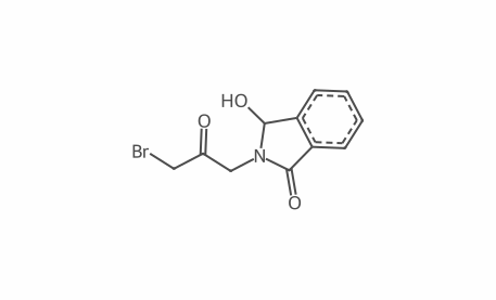 O=C(CBr)CN1C(=O)c2ccccc2C1O